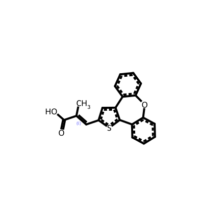 C/C(=C\c1cc2c(s1)-c1ccccc1Oc1ccccc1-2)C(=O)O